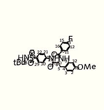 COc1ccc(C[C@H](NC(=O)c2ccc(F)cc2)C(=O)Nc2ccc(S(=O)(=O)NC(C)(C)C)cc2)cc1